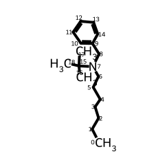 CCCCCCCN(Cc1ccccc1)C(C)(C)C